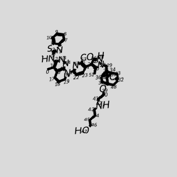 Cc1c(Nc2nc3ccccc3s2)nnc2c1CCCN2c1ccc(-c2cnn(CC3CC4CC5CC3CC(OCCNCCCCO)(C4)C5)c2C)c(C(=O)O)n1